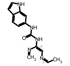 C=N/C(=C\N=C/C)NC(=O)Nc1ccc2cc[nH]c2c1